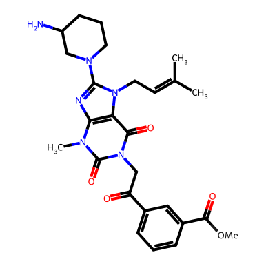 COC(=O)c1cccc(C(=O)Cn2c(=O)c3c(nc(N4CCCC(N)C4)n3CC=C(C)C)n(C)c2=O)c1